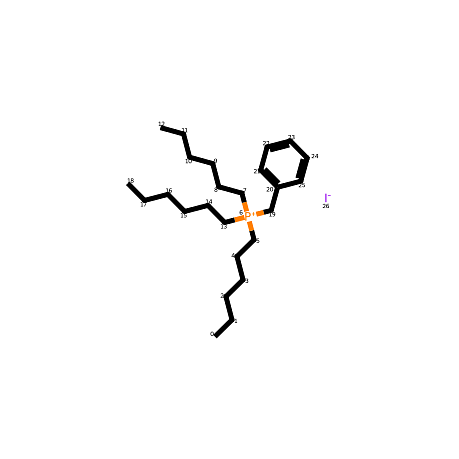 CCCCCC[P+](CCCCCC)(CCCCCC)Cc1ccccc1.[I-]